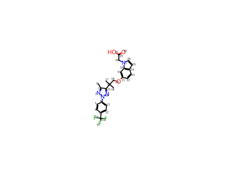 Cc1nn(-c2ccc(C(F)(F)F)cc2)nc1C(C)(C)COc1ccc2ccn(CC(=O)O)c2c1